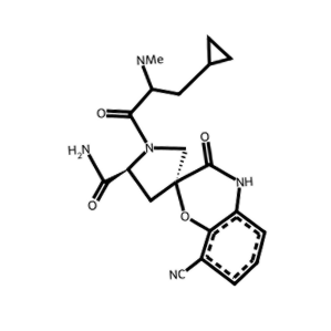 CNC(CC1CC1)C(=O)N1C[C@@]2(C[C@H]1C(N)=O)Oc1c(C#N)cccc1NC2=O